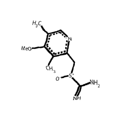 COc1c(C)cnc(C[S+]([O-])C(=N)N)c1C